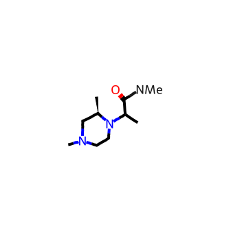 CNC(=O)C(C)N1CCN(C)C[C@H]1C